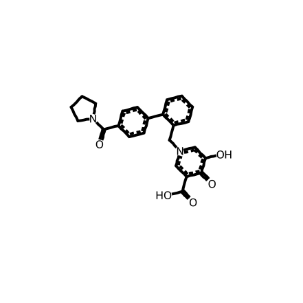 O=C(O)c1cn(Cc2ccccc2-c2ccc(C(=O)N3CCCC3)cc2)cc(O)c1=O